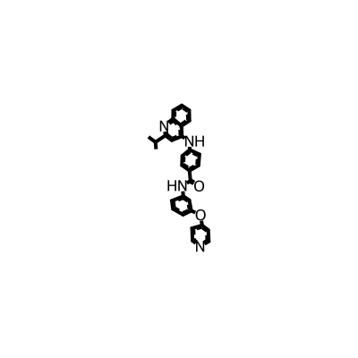 CC(C)c1cc(Nc2ccc(C(=O)Nc3cccc(Oc4ccncc4)c3)cc2)c2ccccc2n1